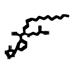 CCCCCCCCC/C=C\C=C\[C@H](SCCC(=O)O)[C@H](O)c1cccc(-c2nnn[nH]2)c1